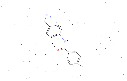 Cc1ccc(C(=O)Nc2ccc(CN)cc2)cc1